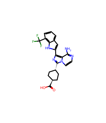 Nc1nccn2c1c(-c1cc3cccc(C(F)(F)F)c3[nH]1)nc2[C@H]1CC[C@H](C(=O)O)CC1